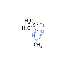 Cn1cnc([Si](C)(C)C)n1